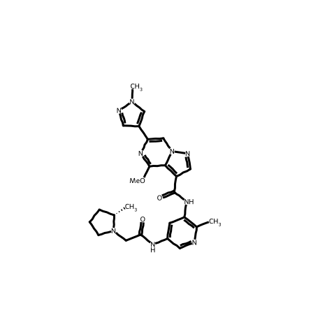 COc1nc(-c2cnn(C)c2)cn2ncc(C(=O)Nc3cc(NC(=O)CN4CCC[C@@H]4C)cnc3C)c12